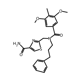 COc1cc(C(=O)N(CCCc2ccccc2)Cc2nc(C(N)=O)cs2)cc(OC)c1C